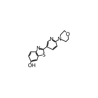 Oc1ccc2nc(-c3ccc(N4CCOCC4)nc3)sc2c1